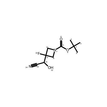 CC(C)(C)OC(=O)N1CC(F)(C(O)C#N)C1